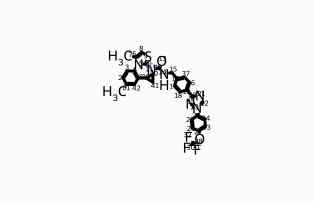 Cc1ccc(-n2c(C)cs/c2=N\C(=O)NCc2ccc(-c3ncn(-c4ccc(OC(F)(F)F)cc4)n3)cc2)c(C2CC2)c1